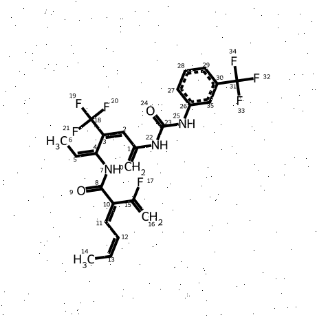 C=C(/C=C(\C(=C/C)NC(=O)/C(=C/C=C\C)C(=C)F)C(F)(F)F)NC(=O)Nc1cccc(C(F)(F)F)c1